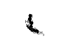 Cn1ccc(S(=O)(=O)N2CCC(CC(CC#N)n3cc(-c4ccnc(Nc5ccc(-n6cccn6)cc5)n4)cn3)CC2)n1